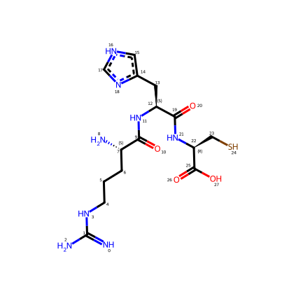 N=C(N)NCCC[C@H](N)C(=O)N[C@@H](Cc1c[nH]cn1)C(=O)N[C@@H](CS)C(=O)O